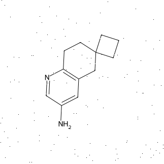 Nc1cnc2c(c1)CC1(CCC1)CC2